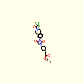 COC(=O)CC[C@H]1CC[C@H](N2CC(=O)N(c3ccc4c(c3)CCN(C(=O)C(F)(F)F)CC4)C2=O)CC1